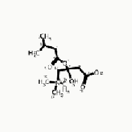 CC(C)CC(=O)OC(O)(CC(=O)[O-])C[N+](C)(C)C